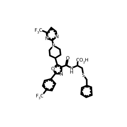 O=C(NC(CSCc1ccccc1)C(=O)O)c1nc(-c2ccc(C(F)(F)F)cc2)oc1C1CCN(c2nccc(C(F)(F)F)n2)CC1